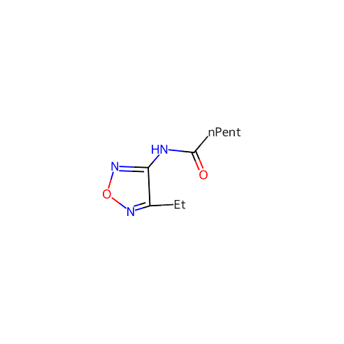 CCCCCC(=O)Nc1nonc1CC